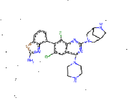 Nc1nc2c(-c3c(Cl)cc4c(N5CCNCC5)nc(N5CC6CNC(C6)C5)nc4c3F)cccc2s1